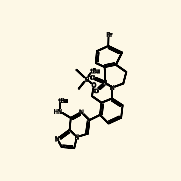 CC(C)(C)Nc1nc(-c2cccc(N3CCc4cc(Br)ccc4S3(=O)=O)c2CO[Si](C)(C)C(C)(C)C)cn2ccnc12